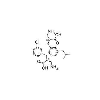 CC(C)Cc1cccc(C[C@@H](CN)C(=O)O)c1.NC[C@H](Cc1cccc(Cl)c1)C(=O)O